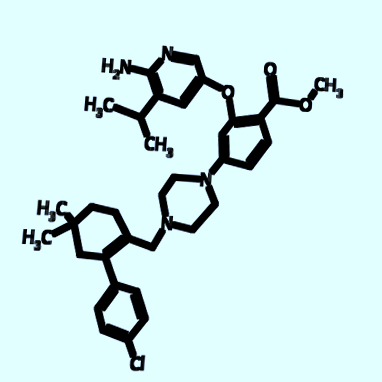 COC(=O)c1ccc(N2CCN(CC3=C(c4ccc(Cl)cc4)CC(C)(C)CC3)CC2)cc1Oc1cnc(N)c(C(C)C)c1